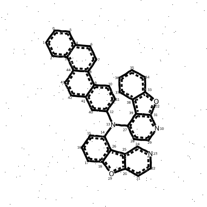 c1ccc2c(c1)ccc1c3ccc(N(c4cccc5oc6ccncc6c45)c4ccnc5oc6ccccc6c45)cc3ccc21